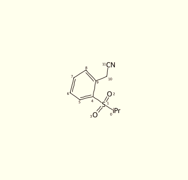 CC(C)S(=O)(=O)c1ccccc1CC#N